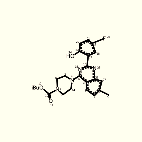 Cc1ccc2c(N3CCN(C(=O)OCC(C)C)CC3)nc(-c3cc(F)ccc3O)nc2c1